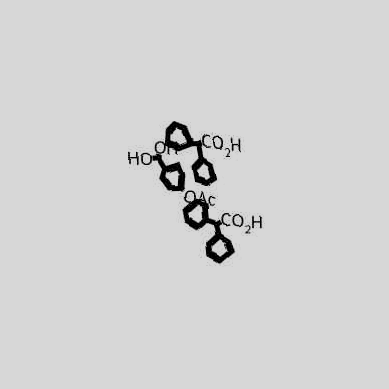 CC(=O)Oc1ccc(C(O)O)cc1.O=C(O)C(c1ccccc1)c1ccccc1.O=C(O)C(c1ccccc1)c1ccccc1